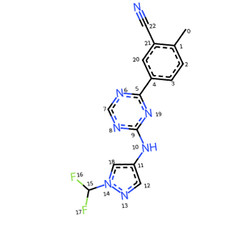 Cc1ccc(-c2ncnc(Nc3cnn(C(F)F)c3)n2)cc1C#N